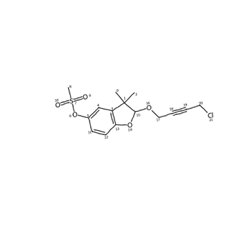 CC1(C)c2cc(OS(C)(=O)=O)ccc2OC1OCC#CCCl